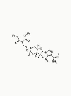 C=Nc1c(/C(N)=N\C)ncn1[C@@H]1O[C@@H]2CO[P@@](=O)(OCCC(C(=O)OC(C)C)C(=O)OC(C)C)O[C@H]2[C@@]1(C)Cl